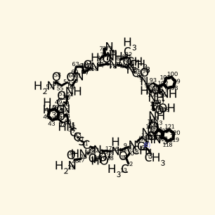 CC/C=C/[C@H]1C(=O)N(C)[C@@H](CCCC)C(=O)N[C@@H](CO)C(=O)N[C@H](C(=O)NCC(N)=O)CSCCN[C@@H](Cc2ccccc2)C(=O)N(C)[C@@H](C)C(=O)N[C@@H](CCC(N)=O)C(=O)N2CCC[C@H]2C(=O)N[C@@H](Cc2cnc[nH]2)C(=O)N[C@@H](CC(C)C)C(=O)N(C)CC(=O)N[C@@H](Cc2c[nH]c3ccccc23)C(=O)N[C@@H](CO)C(=O)N[C@@H](Cc2c[nH]c3ccccc23)C(=O)N1C